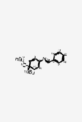 CCCCOC1(CCCC)C=CC(N=Cc2ccccc2)=CC1